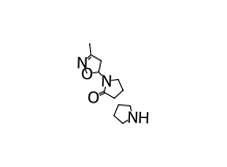 C1CCNC1.CC1=NOC(N2CCCC2=O)C1